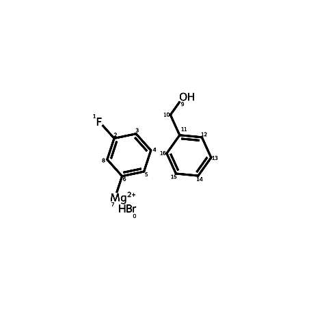 Br.Fc1ccc[c]([Mg+2])c1.OCc1ccccc1